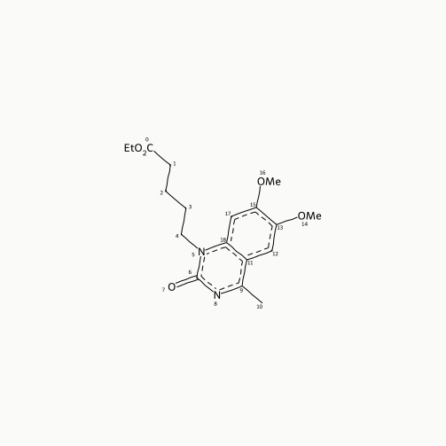 CCOC(=O)CCCCn1c(=O)nc(C)c2cc(OC)c(OC)cc21